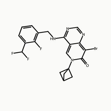 O=c1c(Br)c2ncnc(NCc3cccc(C(F)F)c3F)c2cn1C12CC(C1)C2